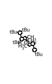 CC1=Cc2c(-c3ccc(C(C)(C)C)cc3)cccc2C1[Si](C)(C)C1C(C)=Cc2c(-c3cc(C(C)(C)C)cc(C(C)(C)C)c3)cc(C(C)(C)C)cc21